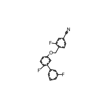 N#Cc1ccc(COc2ccc(F)c(-c3cccc(F)c3)c2)c(F)c1